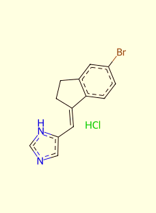 Brc1ccc2c(c1)CCC2=Cc1cnc[nH]1.Cl